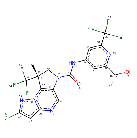 C[C@@H](O)c1cc(NC(=O)N2C[C@@](C)(C(F)(F)F)c3c2cnc2cc(Cl)nn32)cc(C(F)(F)F)n1